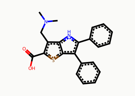 CN(C)Cc1c(C(=O)O)sc2c(-c3ccccc3)c(-c3ccccc3)[nH]c12